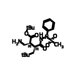 CC(C)(C)C[C@@H](C(=O)NN(c1ccccc1)S(C)(=O)=O)[C@H](CN)C(=O)OC(C)(C)C